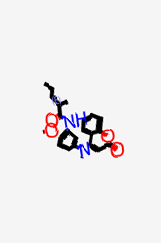 CC/C=C(\C)C(=O)Nc1cc(N(C)c2cc(=O)oc3ccccc23)ccc1OC